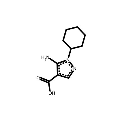 Nc1c(C(=O)O)cnn1C1CCCCC1